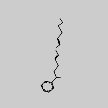 CCCCC=CNC=CCCC(C)c1ccccc1